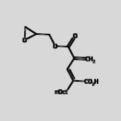 C=C(C=C(CCCCCCCC)C(=O)O)C(=O)OCC1CO1